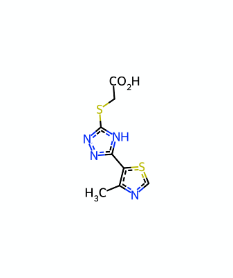 Cc1ncsc1-c1nnc(SCC(=O)O)[nH]1